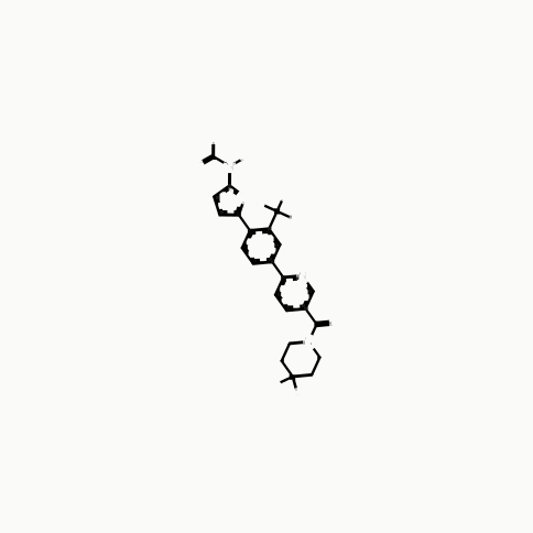 CN(C(=O)O)c1ccc(-c2ccc(-c3ccc(C(=O)N4CCC(F)(F)CC4)cn3)cc2C(F)(F)F)o1